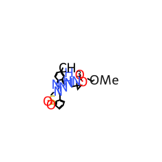 COCCOC(=O)NC1(CNc2nc(N3CCS(=O)(=O)c4ccccc4C3)nc3ccc(C)cc23)CC1